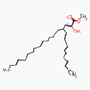 CCCCCC=CCCC(/C=C(\O)C(=O)OC)CCCCCCCCCCCCCC